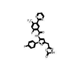 O=C(Nc1cc(Cc2n[nH]c(=O)o2)nn1-c1ccc(F)cc1)c1cc(-c2ncccn2)c(C(F)(F)F)cc1F